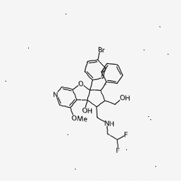 COc1cncc2c1C1(O)C(CNCC(F)F)C(CO)C(c3ccccc3)C1(c1ccc(Br)cc1)O2